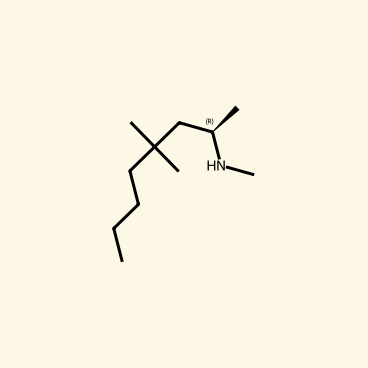 CCCCC(C)(C)C[C@@H](C)NC